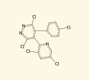 Clc1ccc(-c2c(Cl)nnc(Cl)c2-c2ncc(Cl)cc2Cl)cc1